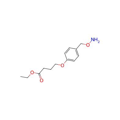 CCOC(=O)CCCOc1ccc(CON)cc1